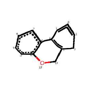 C1=CCC2=C(C=1)c1ccccc1OC2